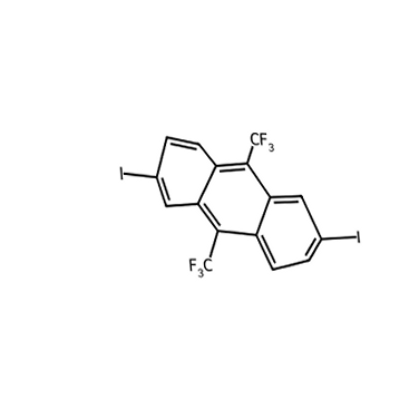 FC(F)(F)c1c2ccc(I)cc2c(C(F)(F)F)c2ccc(I)cc12